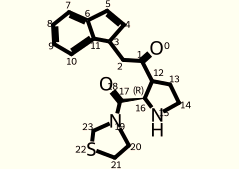 O=C(CC1C=Cc2ccccc21)C1CCN[C@H]1C(=O)N1CCSC1